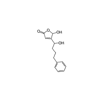 O=C1C=C(C(O)CCCc2ccccc2)C(O)O1